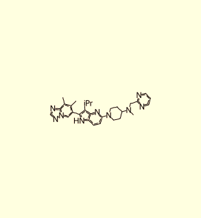 Cc1c(-c2[nH]c3ccc(N4CCC(N(C)Cc5ncccn5)CC4)nc3c2C(C)C)cn2ncnc2c1C